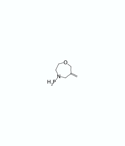 C=C1COCCN(P)C1